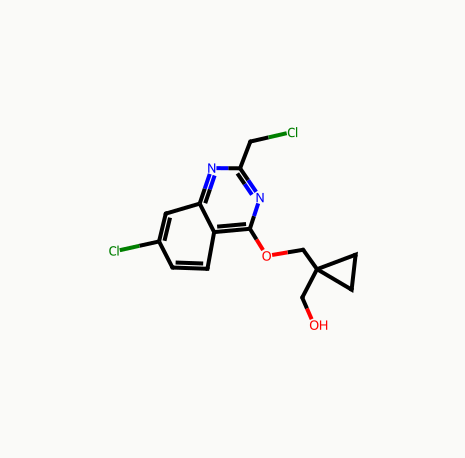 OCC1(COc2nc(CCl)nc3cc(Cl)ccc23)CC1